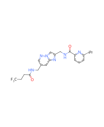 CC(C)c1cccc(C(=O)NCc2cn3ncc(CNC(=O)CCC(F)(F)F)cc3n2)n1